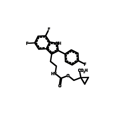 O=C(NCCc1c(-c2ccc(F)cc2)[nH]c2c(F)cc(F)cc12)OCC1(C(=O)O)CC1